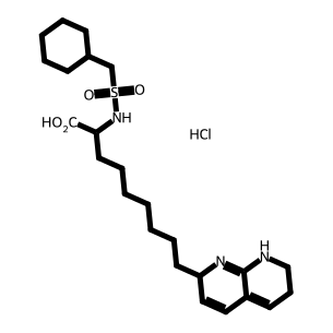 Cl.O=C(O)C(CCCCCCCC1C=CC2=CCCNC2=N1)NS(=O)(=O)CC1CCCCC1